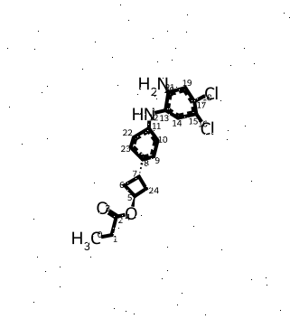 CCC(=O)O[C@H]1C[C@H](c2ccc(Nc3cc(Cl)c(Cl)cc3N)cc2)C1